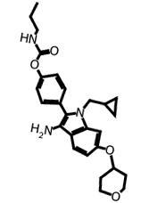 CCCNC(=O)Oc1ccc(-c2c(N)c3ccc(OC4CCOCC4)cc3n2CC2CC2)cc1